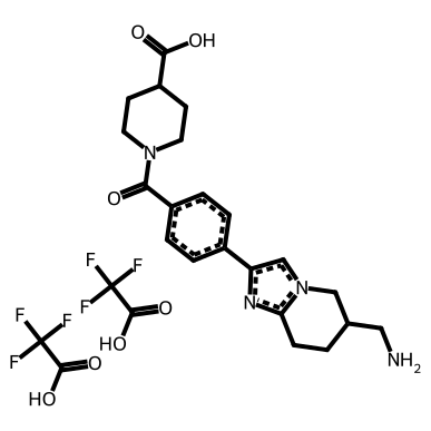 NCC1CCc2nc(-c3ccc(C(=O)N4CCC(C(=O)O)CC4)cc3)cn2C1.O=C(O)C(F)(F)F.O=C(O)C(F)(F)F